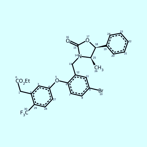 CCOC(=O)Cc1cc(Oc2ccc(Br)cc2CN2C(=O)O[C@@H](c3ccccc3)[C@H]2C)ccc1C(F)(F)F